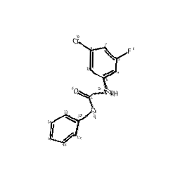 O=C(Nc1cc(F)cc(Cl)c1)Oc1ccccc1